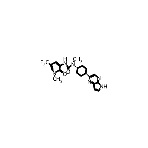 Cn1cc(C(F)(F)F)cc(NC(=O)N(C)[C@H]2CC[C@H](c3cnc4[nH]ccc4n3)CC2)c1=O